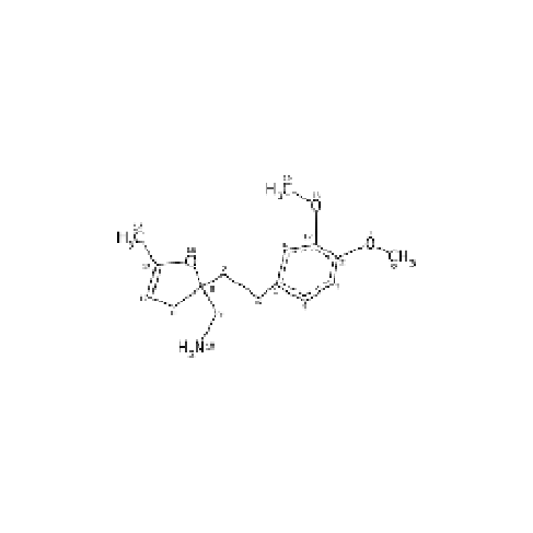 COc1ccc(CCC2(CN)CC=C(C)O2)cc1OC